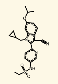 CCS(=O)(=O)Nc1ccc(-c2c(C#N)c3ccc(OC(C)C)cc3n2CC2CC2)nc1